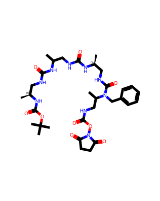 CC(CNC(=O)N[C@@H](C)CNC(=O)N(Cc1ccccc1)C(C)CNC(=O)ON1C(=O)CCC1=O)NC(=O)NC[C@H](C)NC(=O)OC(C)(C)C